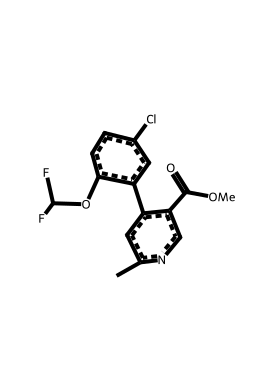 COC(=O)c1cnc(C)cc1-c1cc(Cl)ccc1OC(F)F